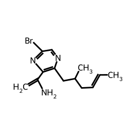 C=C(N)c1nc(Br)cnc1CC(C)C/C=C/C